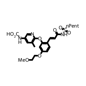 CCCCCS(=O)(=O)NC(=O)C=Cc1ccc(OCCOC)cc1Oc1ncc(NC(=O)O)cc1C